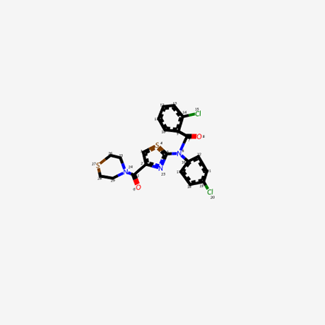 O=C(c1csc(N(C(=O)c2ccccc2Cl)c2ccc(Cl)cc2)n1)N1CCSCC1